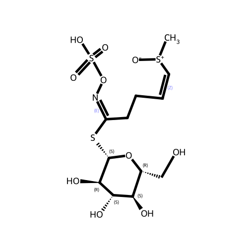 C[S+]([O-])/C=C\CC/C(=N\OS(=O)(=O)O)S[C@@H]1O[C@H](CO)[C@@H](O)[C@H](O)[C@H]1O